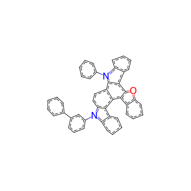 c1ccc(-c2cccc(-n3c4ccccc4c4c5c(ccc43)c3c(c4ccccc4n3-c3ccccc3)c3oc4ccccc4c35)c2)cc1